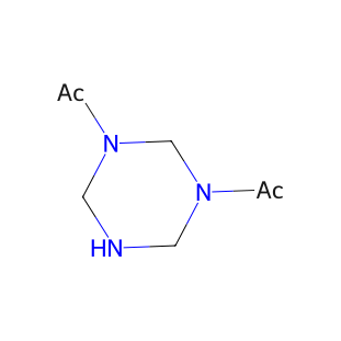 CC(=O)N1CNCN(C(C)=O)C1